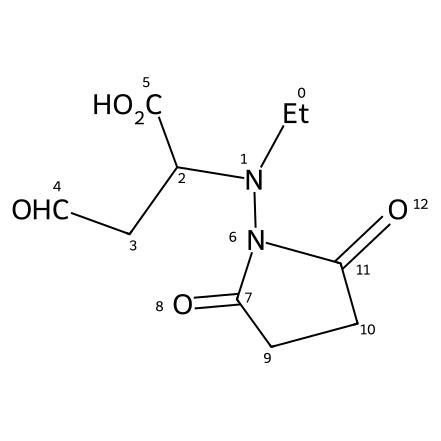 CCN(C(CC=O)C(=O)O)N1C(=O)CCC1=O